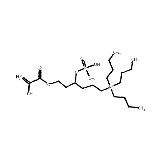 C=C(C)C(=O)OCCC(CCC[N+](CCCC)(CCCC)CCCC)OP(=O)(O)O